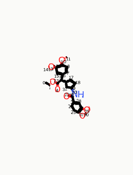 CCOC(=O)C(c1ccc(OC)c(OC)c1)C1C=CC(NC(=O)c2ccc3c(c2)OCO3)C1